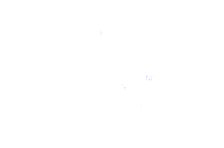 Cc1csc(-n2c(=O)[nH]c3ccc(F)cc32)c1